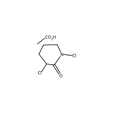 CC(=O)O.O=C1C(Cl)CCCN1Cl